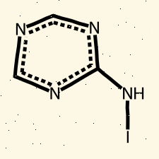 INc1ncncn1